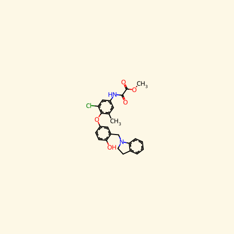 COC(=O)C(=O)Nc1cc(C)c(Oc2ccc(O)c(CN3CCc4ccccc43)c2)c(Cl)c1